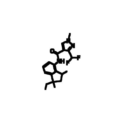 CCC1(C)CC(C)c2c(NC(=O)c3cn(C)nc3C(F)F)cccc21